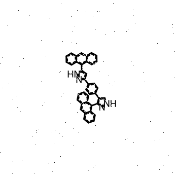 c1ccc2c(-c3cc(-c4ccc(-c5c[nH]nc5-c5c6ccccc6cc6ccccc56)cc4)n[nH]3)c3ccccc3cc2c1